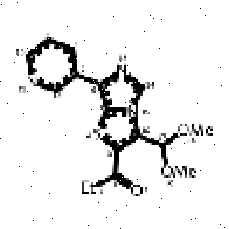 CCC(=O)c1sc2c(-c3cccnc3)ncn2c1C(OC)OC